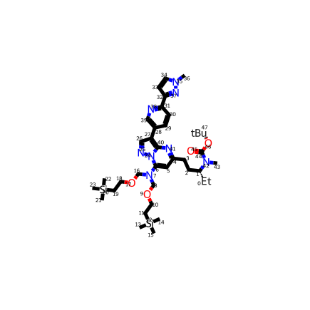 CC[C@H](CCc1cc(N(COCC[Si](C)(C)C)COCC[Si](C)(C)C)n2ncc(-c3ccc(-c4ccn(C)n4)nc3)c2n1)N(C)C(=O)OC(C)(C)C